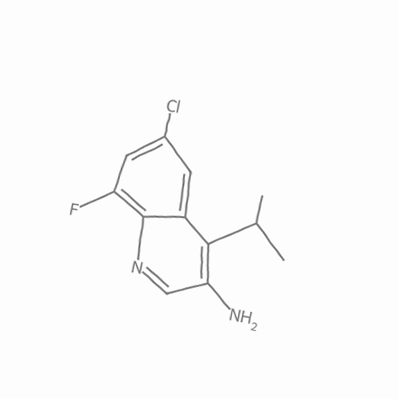 CC(C)c1c(N)cnc2c(F)cc(Cl)cc12